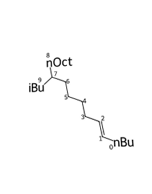 [CH2]CCC/C=C/CCCCC(CCCCCCC[CH2])C(C)CC